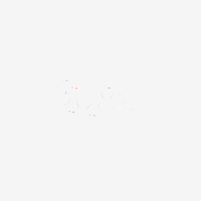 COC(=O)Nc1cc(-c2cnnc(-c3cc(NC(=O)CN4CCCC4)cnc3C)c2)ccn1